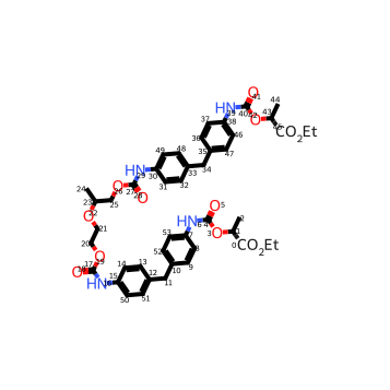 CCOC(=O)C(C)OC(=O)Nc1ccc(Cc2ccc(NC(=O)OCCOC(C)COC(=O)Nc3ccc(Cc4ccc(NC(=O)OC(C)C(=O)OCC)cc4)cc3)cc2)cc1